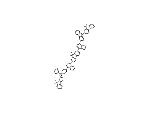 CC1(C)c2cc(-c3ccc(-c4ccc5c(c4)c4ccccc4n5-c4ccc5c(c4)C(C)(C)c4ccccc4-5)c4ccccc34)ccc2-c2ccc(-c3ccc(-c4ccc5c(c4)c4ccccc4n5-c4ccc5c(c4)C(C)(C)c4ccccc4-5)c4ccccc34)cc21